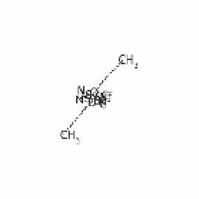 [C-]#[N+]C([N+]#[C-])=C1Sc2c(OCCCCCCCCCCCCCCCCCC)c3c(c(OCCCCCCCCCCCCCCCCCC)c2S1)SC(=C(C#N)C#N)S3